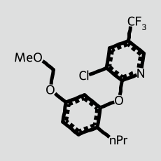 [CH2]CCc1ccc(OCOC)cc1Oc1ncc(C(F)(F)F)cc1Cl